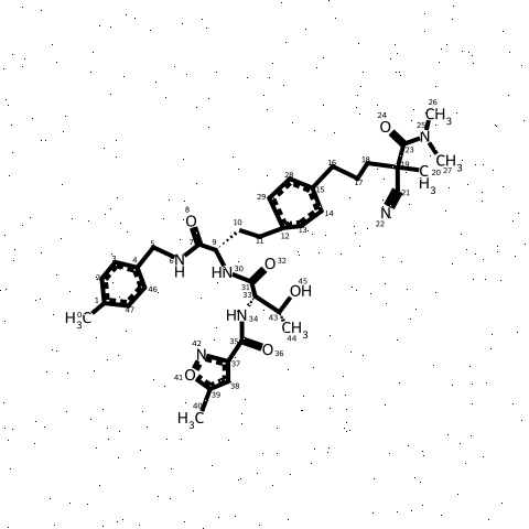 Cc1ccc(CNC(=O)[C@H](CCc2ccc(CCCC(C)(C#N)C(=O)N(C)C)cc2)NC(=O)[C@@H](NC(=O)c2cc(C)on2)[C@@H](C)O)cc1